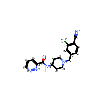 N#Cc1ccc(CN2CCC(NC(=O)c3cccnn3)CC2)cc1Cl